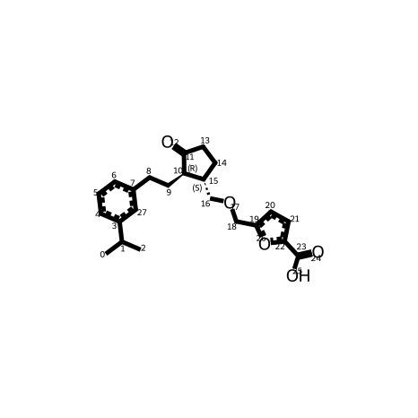 CC(C)c1cccc(CC[C@H]2C(=O)CC[C@@H]2COCc2ccc(C(=O)O)o2)c1